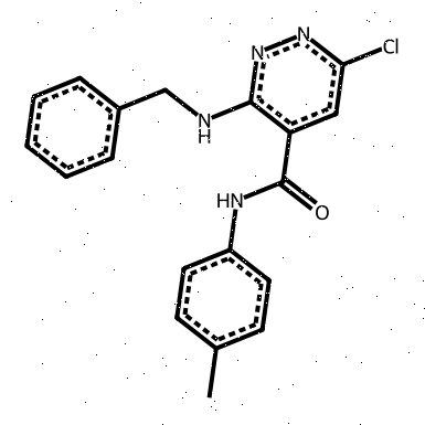 Cc1ccc(NC(=O)c2cc(Cl)nnc2NCc2ccccc2)cc1